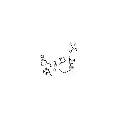 C[C@@H]1CCC[C@H](N2CCC(c3cc(Cl)ccc3-n3cc(Cl)nn3)=CC2=O)c2cc(ccn2)-c2c(cnn2CCOC(=O)C(F)(F)F)NC1=O